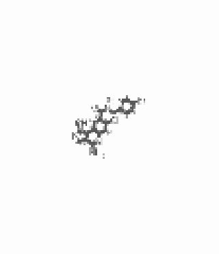 CCN(Cc1ccc(Br)cn1)C(=O)c1cc2c(cc1Cl)nc(N)c1cnn(C)c12